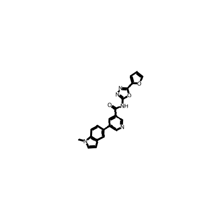 Cn1ccc2cc(-c3cncc(C(=O)Nc4nnc(-c5ccco5)o4)c3)ccc21